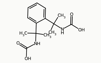 CC(C)(NC(=O)O)c1ccccc1C(C)(C)NC(=O)O